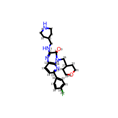 O=c1c(NCC2CCNCC2)nc2ccc(-c3ccc(F)cc3)nc2n1CC1CCOCC1